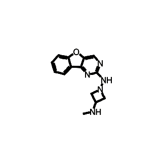 CNC1CN(Nc2ncc3oc4ccccc4c3n2)C1